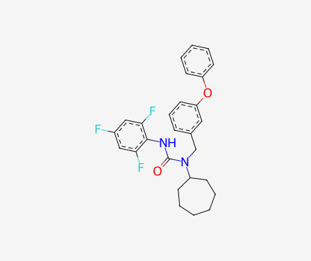 O=C(Nc1c(F)cc(F)cc1F)N(Cc1cccc(Oc2ccccc2)c1)C1CCCCCC1